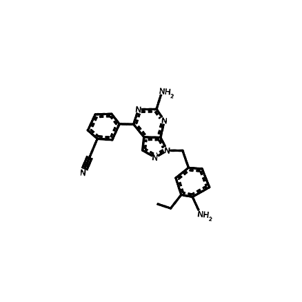 CCc1cc(Cn2ncc3c(-c4cccc(C#N)c4)nc(N)nc32)ccc1N